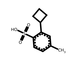 Cc1ccc(S(=O)(=O)O)c(C2CCC2)c1